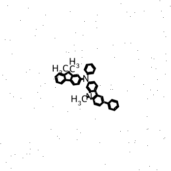 Cn1c2ccc(-c3ccccc3)cc2c2ccc(N(c3ccccc3)c3ccc4c(c3)C(C)(C)c3ccccc3-4)cc21